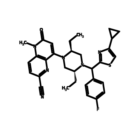 CC[C@H]1CN(C(c2ccc(F)cc2)c2nc(C3CC3)cs2)[C@H](CC)CN1c1cc(=O)n(C)c2ccc(C#N)nc12